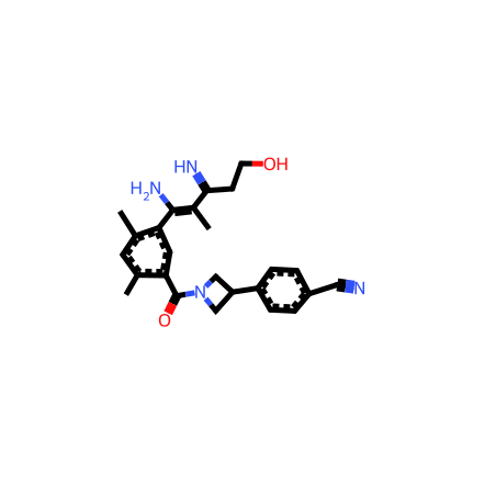 C/C(C(=N)CCO)=C(/N)c1cc(C(=O)N2CC(c3ccc(C#N)cc3)C2)c(C)cc1C